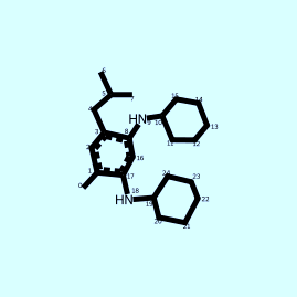 Cc1cc(CC(C)C)c(NC2CCCCC2)cc1NC1CCCCC1